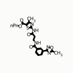 CCCOC(=O)c1sc(NC(=O)CCNC(=O)c2cccc(-c3noc(C)n3)c2)nc1C